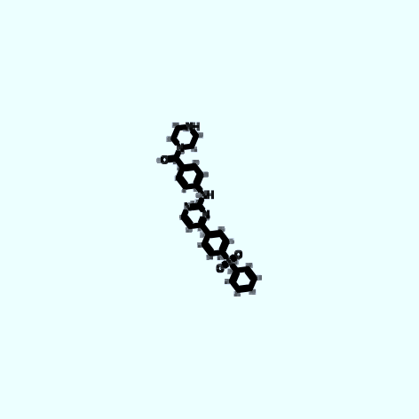 O=C(c1ccc(Nc2nccc(-c3ccc(S(=O)(=O)c4ccccc4)cc3)n2)cc1)N1CCNCC1